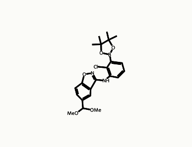 COC(OC)c1ccc2onc(Nc3cccc(B4OC(C)(C)C(C)(C)O4)c3Cl)c2c1